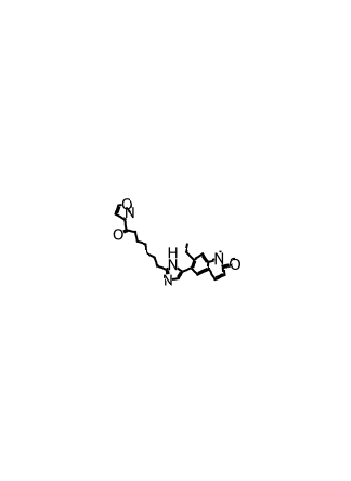 CCc1cc2c(ccc(=O)n2C)cc1-c1cnc(CCCCCCC(=O)c2ccon2)[nH]1